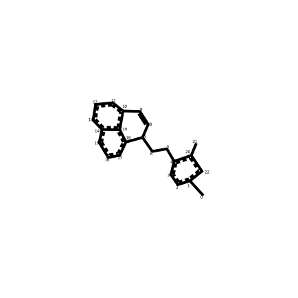 Cc1ccc(CCC2C=Cc3cccc4cccc2c34)c(C)c1